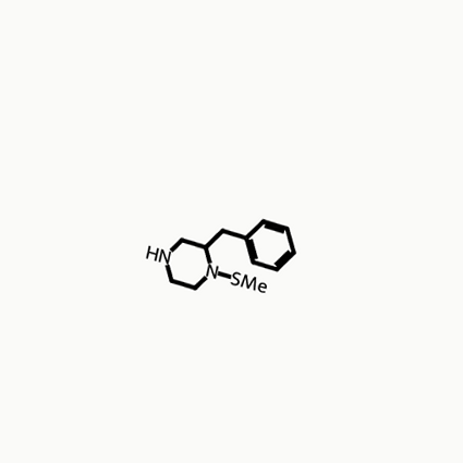 CSN1CCNCC1Cc1ccccc1